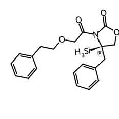 O=C(COCCc1ccccc1)N1C(=O)OC[C@]1([SiH3])Cc1ccccc1